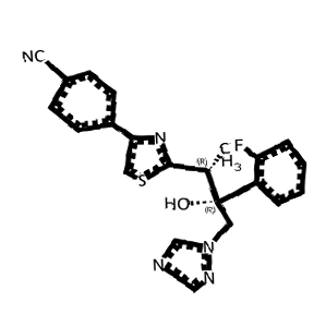 C[C@@H](c1nc(-c2ccc(C#N)cc2)cs1)[C@](O)(Cn1cncn1)c1ccccc1F